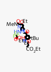 CCOC(=O)CCCOc1c(N(CC)CC)cc(C(=O)CN2Cc3cc(OCC)c(C(=O)NC)nc3C2=N)cc1C(C)(C)C.O=C(O)C(F)(F)F